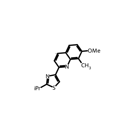 COc1ccc2[c]cc(-c3csc(C(C)C)n3)nc2c1C